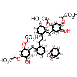 O=C(O)COc1cc(OCC(=O)O)c(Cc2ccccc2CCc2ccccc2Cc2cc(O)c(OCC(=O)O)cc2OCC(=O)O)cc1O.c1cc2cc(c1)OC2